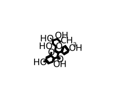 C[C@H]1OC(c2oc3cc(O)cc(O)c3c(=O)c2-c2ccc(O)cc2)[C@@H](O)[C@@H](O)[C@@H]1O